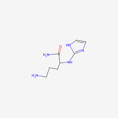 NCCCC(Nc1ncc[nH]1)C(N)=O